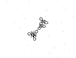 c1ccc(-c2nc(-c3ccccc3)nc(-c3ccc(-c4ccc(-n5c6ccccc6c6c5ccc5c7ccccc7c7cc8ccccc8n7c56)cc4)cc3)n2)cc1